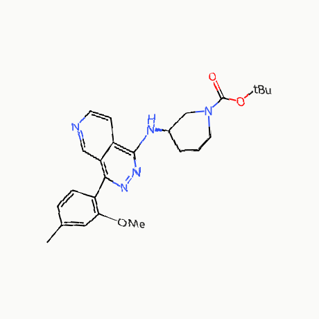 COc1cc(C)ccc1-c1nnc(N[C@@H]2CCCN(C(=O)OC(C)(C)C)C2)c2ccncc12